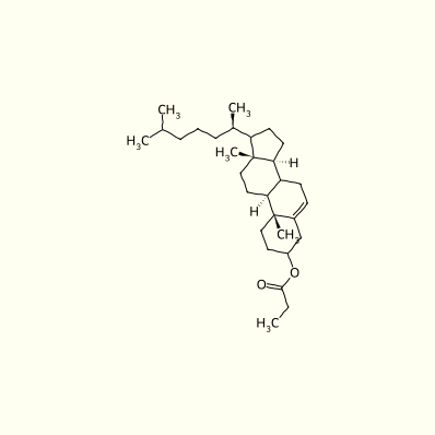 CCC(=O)OC1CC[C@@]2(C)C(=CCC3[C@@H]2CC[C@]2(C)C([C@H](C)CCCC(C)C)CC[C@@H]32)C1